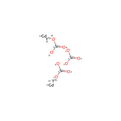 O=[Si]([O-])[O-].O=[Si]([O-])[O-].O=[Si]([O-])[O-].[Gd].[Gd].[Y+3].[Y+3]